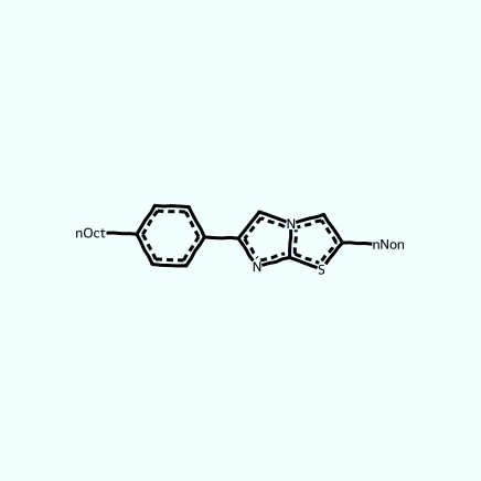 CCCCCCCCCc1cn2cc(-c3ccc(CCCCCCCC)cc3)nc2s1